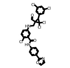 O=CC1(CNc2ccc(Cl)c(C(=O)Nc3ccc(-c4ncco4)cc3)c2)C(c2cc(Cl)cc(Cl)c2)C1(Cl)Cl